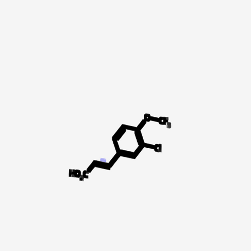 O=C(O)/C=C/c1ccc(OC(F)(F)F)c(Cl)c1